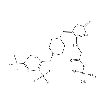 CC(C)(C)OC(=O)CNC1=NC(=O)SC1=CC1CCN(Cc2ccc(C(F)(F)F)cc2C(F)(F)F)CC1